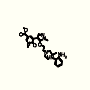 CCN(CCOc1c(-c2cc(C(=O)OC)cn(C)c2=O)cnn1C)CC(C)Nc1ccccc1N